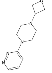 c1cnnc(N2CCN(C3COC3)CC2)c1